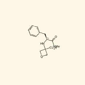 CNC(=O)[C@H](Cc1ccccc1)NC1(C(=O)O)COC1